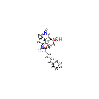 CN1CC[C@@]2(c3cccc(O)c3)C[C@@H](N(C)C(=O)CCCCCc3ccccc3)CC[C@@H]2C1